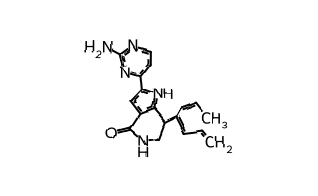 C=C/C=C(\C=C/C)C1CNC(=O)c2cc(-c3ccnc(N)n3)[nH]c21